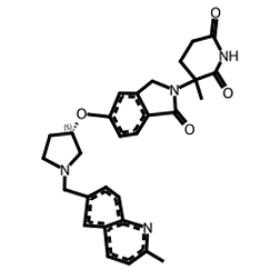 Cc1ccc2cc(CN3CC[C@H](Oc4ccc5c(c4)CN(C4(C)CCC(=O)NC4=O)C5=O)C3)ccc2n1